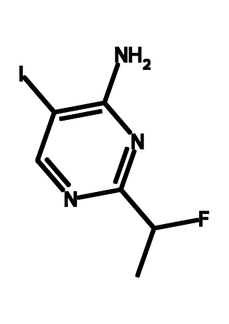 CC(F)c1ncc(I)c(N)n1